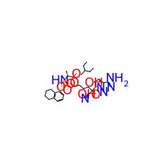 CCC(CC)COC(=O)[C@H](C)NP(=O)(OCC[C@@H](O)[C@@H](O)C(C#N)(OC)c1ccc2c(N)ncnn12)Oc1cccc2c1CCCC2